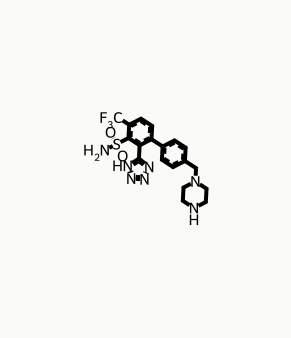 NS(=O)(=O)c1c(C(F)(F)F)ccc(-c2ccc(CN3CCNCC3)cc2)c1-c1nnn[nH]1